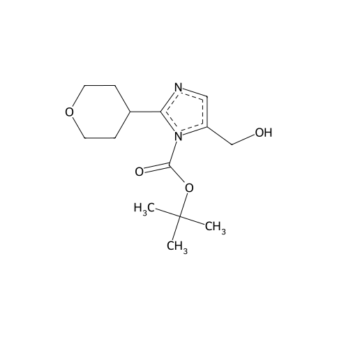 CC(C)(C)OC(=O)n1c(CO)cnc1C1CCOCC1